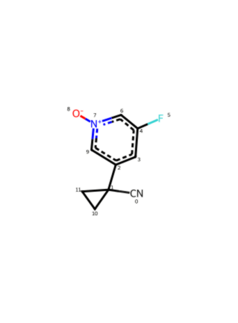 N#CC1(c2cc(F)c[n+]([O-])c2)CC1